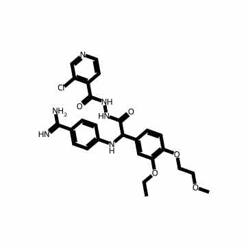 CCOc1cc(C(Nc2ccc(C(=N)N)cc2)C(=O)NNC(=O)c2ccncc2Cl)ccc1OCCOC